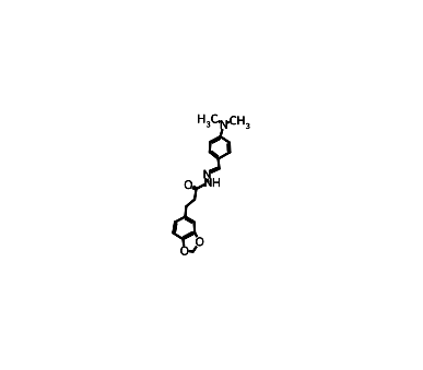 CN(C)c1ccc(/C=N/NC(=O)CCc2ccc3c(c2)OCO3)cc1